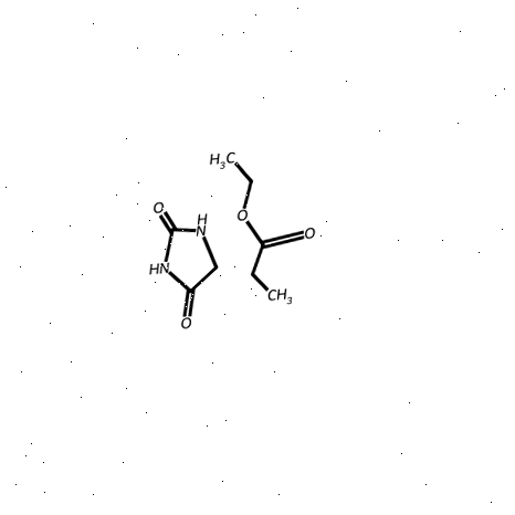 CCOC(=O)CC.O=C1CNC(=O)N1